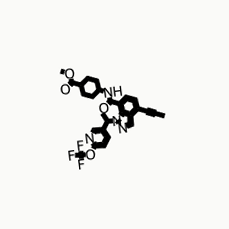 CC#Cc1ccc(C(=O)NC2CCC(C(=O)OC)CC2)c2c1cnn2C(C)c1ccc(OC(F)(F)F)nc1